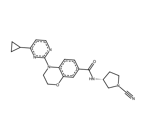 N#CN1CC[C@@H](NC(=O)c2ccc3c(c2)OCCN3c2nccc(C3CC3)n2)C1